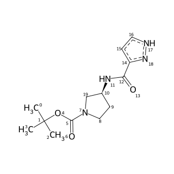 CC(C)(C)OC(=O)N1CC[C@H](NC(=O)c2cc[nH]n2)C1